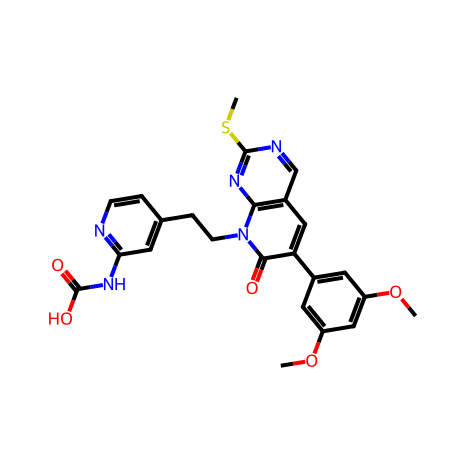 COc1cc(OC)cc(-c2cc3cnc(SC)nc3n(CCc3ccnc(NC(=O)O)c3)c2=O)c1